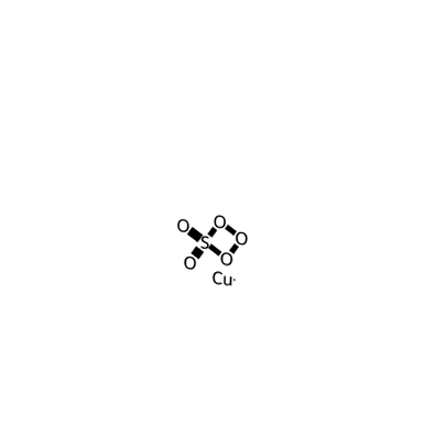 O=S1(=O)OOO1.[Cu]